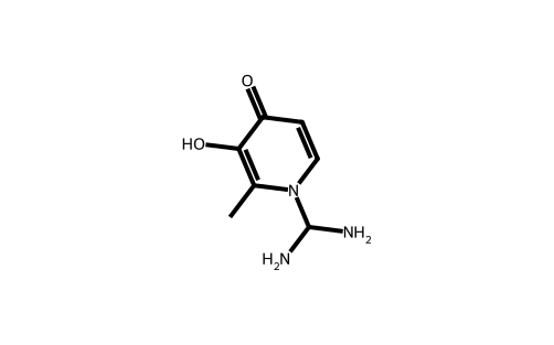 Cc1c(O)c(=O)ccn1C(N)N